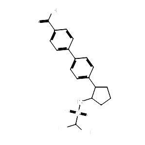 CC(C)S(=O)(=O)NC1CCCC1c1ccc(-c2ccc(C(=O)O)cc2)cc1